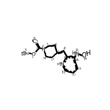 CC(C)(C)OC(=O)N1CCC(=Cc2ncccc2NO)CC1